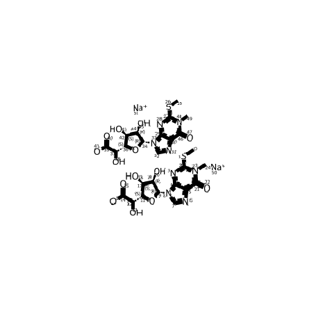 CSc1nc2c(ncn2[C@@H]2O[C@H](C(O)C(=O)[O-])[C@@H](O)[C@H]2O)c(=O)n1C.CSc1nc2c(ncn2[C@@H]2O[C@H](C(O)C(=O)[O-])[C@@H](O)[C@H]2O)c(=O)n1C.[Na+].[Na+]